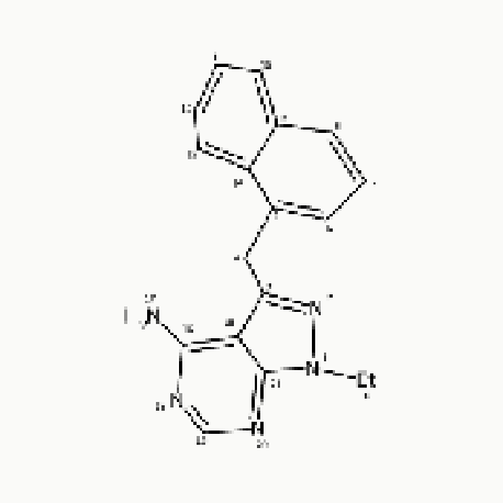 CCn1nc(Cc2cccc3ccccc23)c2c(N)ncnc21